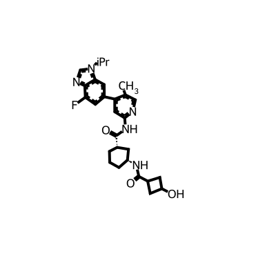 Cc1cnc(NC(=O)[C@H]2CCC[C@@H](NC(=O)C3CC(O)C3)C2)cc1-c1cc(F)c2ncn(C(C)C)c2c1